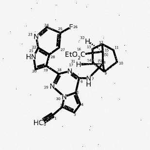 C#Cc1ccc2c(N[C@H]3C4CCC(CC4)[C@@H]3C(=O)OCC)nc(-c3c[nH]c4ncc(F)cc34)nn12